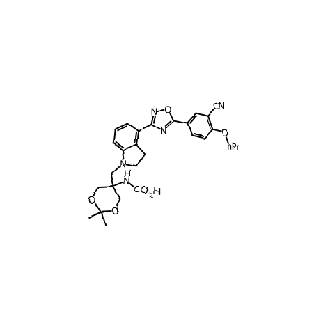 CCCOc1ccc(-c2nc(-c3cccc4c3CCN4CC3(NC(=O)O)COC(C)(C)OC3)no2)cc1C#N